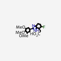 COc1cc(-c2nc3ccc(F)c(CC(=O)O)c3[nH]2)cc(OC)c1OC